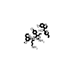 C=CC1CN2CCC1CC2C(O)c1ccnc2ccc(OC)cc12.CCc1nc(N)nc(N)c1-c1ccc(Cl)cc1.COc1cc(NC(C)CCCN)c2ncccc2c1